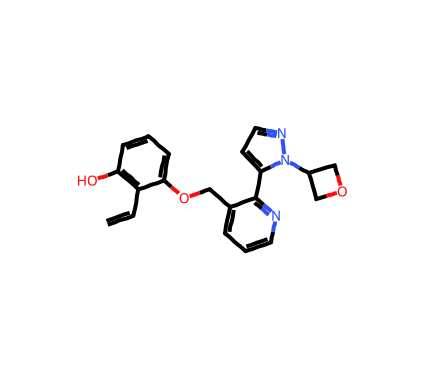 C=Cc1c(O)cccc1OCc1cccnc1-c1ccnn1C1COC1